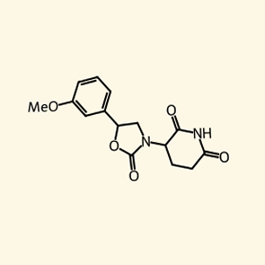 COc1cccc(C2CN(C3CCC(=O)NC3=O)C(=O)O2)c1